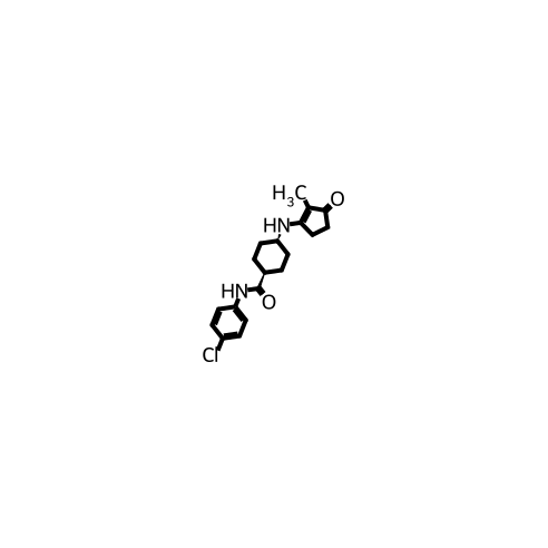 CC1=C(N[C@H]2CC[C@H](C(=O)Nc3ccc(Cl)cc3)CC2)CCC1=O